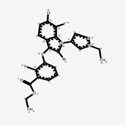 CCOC(=O)c1cccc(Sc2c(Br)n(-c3cnn(CC)c3)c3c(F)c(Cl)ccc23)c1F